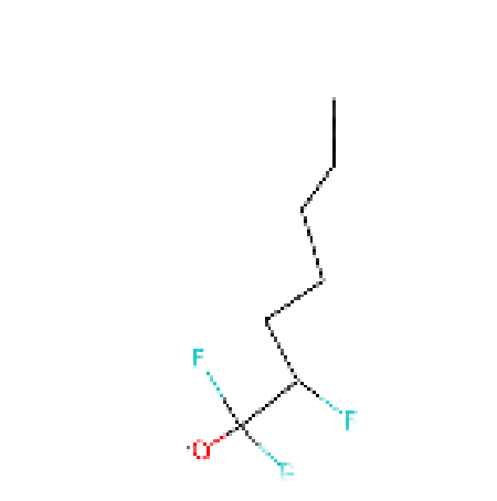 CCCCCC(F)C([O])(F)F